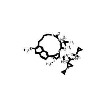 COc1cc2ccc3cc2cc1CCCCOC(=O)N[C@@H](C(C)(C)C)C(=O)N1C[C@@]3(OC)C[C@H]1C(=O)N[C@]1(C(=O)NS(=O)(=O)C2CC2)C[C@H]1C1CC1